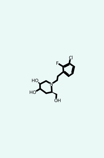 OC[C@H]1CC(O)[C@@H](O)CN1CCc1cccc(Cl)c1F